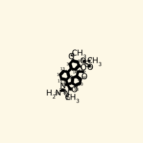 COc1cc(OS(C)(=O)=O)cc(-c2cccc(C3(c4ccc5c(c4)CCO5)N=C(N)N(C)C3=O)c2)c1